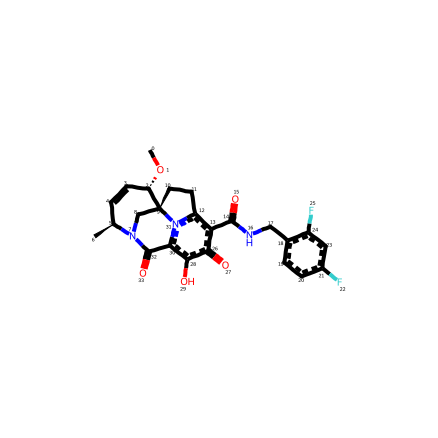 CO[C@H]1C=C[C@H](C)N2C[C@]13CCc1c(C(=O)NCc4ccc(F)cc4F)c(=O)c(O)c(n13)C2=O